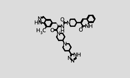 Cc1cc(C[C@H](NC(=O)N2CCC(c3cc4ccccc4[nH]c3=O)CC2)C(=O)N2CCC(N3CCC(c4nnc[nH]4)CC3)CC2)cc2cn[nH]c12